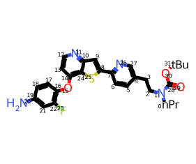 CCCN(CCc1ccc(-c2cc3nccc(Oc4ccc(N)cc4F)c3s2)nc1)C(=O)OC(C)(C)C